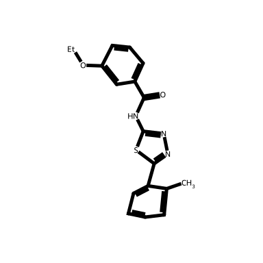 CCOc1cccc(C(=O)Nc2nnc(-c3ccccc3C)s2)c1